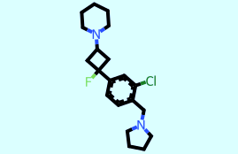 FC1(c2ccc(CN3CCCC3)c(Cl)c2)CC(N2CCCCC2)C1